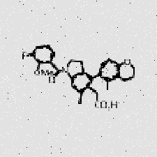 COc1c(F)cccc1C(=O)N1CCc2c1cc(C)c(CC(=O)O)c2-c1ccc2c(c1C)CCCO2